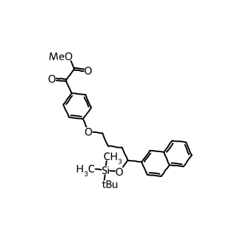 COC(=O)C(=O)c1ccc(OCCCC(O[Si](C)(C)C(C)(C)C)c2ccc3ccccc3c2)cc1